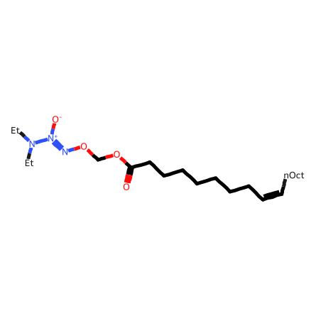 CCCCCCCC/C=C\CCCCCCCC(=O)OCO/N=[N+](\[O-])N(CC)CC